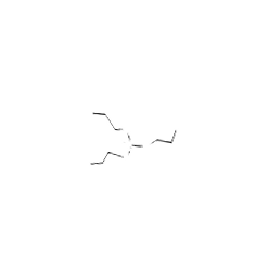 CCCO[SiH](OCCC)OCCC